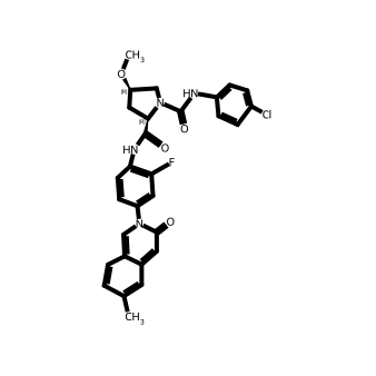 CO[C@@H]1C[C@H](C(=O)Nc2ccc(-n3cc4ccc(C)cc4cc3=O)cc2F)N(C(=O)Nc2ccc(Cl)cc2)C1